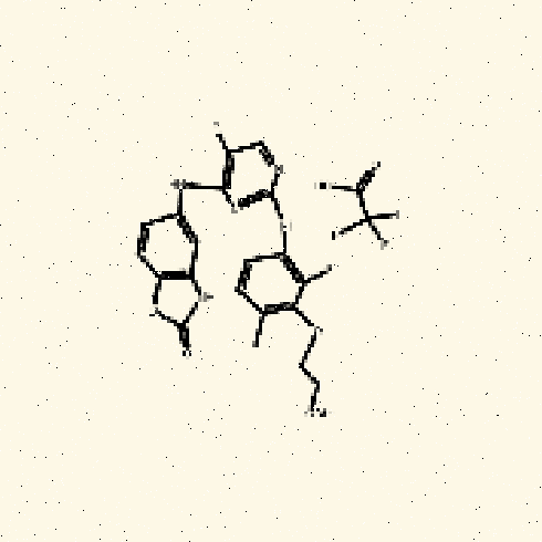 COCCOc1c(C)ccc(Nc2ncc(F)c(Nc3ccc4oc(=O)[nH]c4c3)n2)c1F.O=C(O)C(F)(F)F